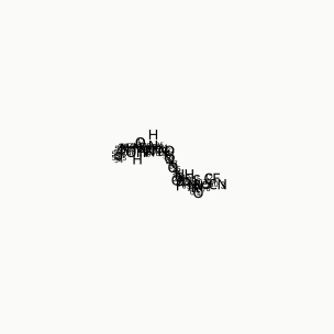 CC1(C)C(=O)N(c2ccc(C#N)c(C(F)(F)F)c2)C(=S)N1c1ccc(C(=O)NCCOCCOCC(=O)N2CCC(Nc3cc(C(=O)NC[C@H](O)CN4CCc5ccccc5C4)ncn3)CC2)c(F)c1